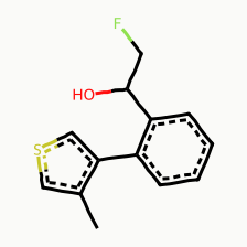 Cc1cscc1-c1ccccc1C(O)CF